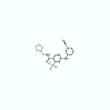 N#Cc1cccc(Nc2ncc(C(=O)NCC3CCCC3)c(C(F)(F)F)n2)c1